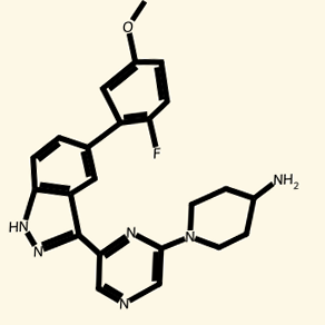 COc1ccc(F)c(-c2ccc3[nH]nc(-c4cncc(N5CCC(N)CC5)n4)c3c2)c1